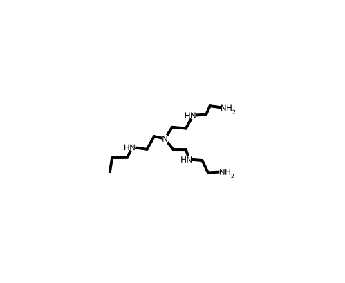 CCCNCCN(CCNCCN)CCNCCN